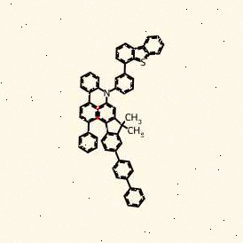 CC1(C)c2cc(-c3ccc(-c4ccccc4)cc3)ccc2-c2ccc(N(c3cccc(-c4cccc5c4sc4ccccc45)c3)c3ccccc3-c3ccc(-c4ccccc4)cc3)cc21